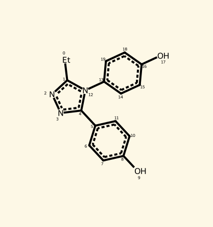 CCc1nnc(-c2ccc(O)cc2)n1-c1ccc(O)cc1